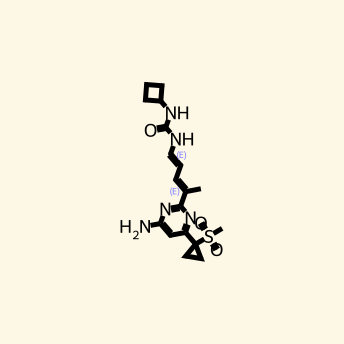 C/C(=C\C=C\NC(=O)NC1CCC1)c1nc(N)cc(C2(S(C)(=O)=O)CC2)n1